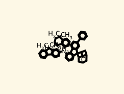 CC1(C)CCC(C)(C)c2c(N(c3ccc4c(c3)C(C)(C)c3ccccc3-4)c3cccc4c3-c3ccc(-c5ccccc5)cc3C43C4CC5CC6CC3C64C5)cccc21